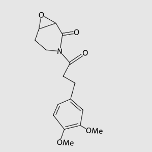 COc1ccc(CCC(=O)N2CCC3OC3C2=O)cc1OC